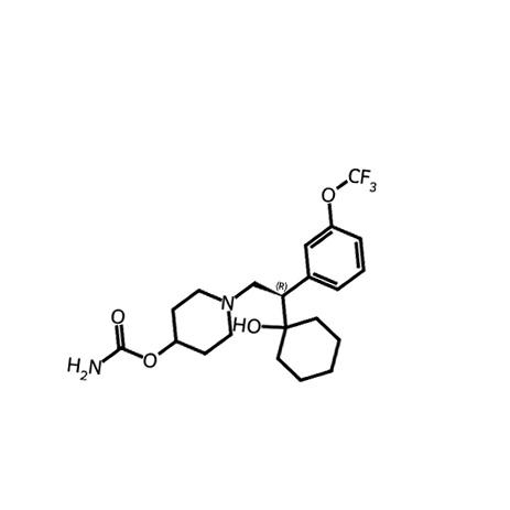 NC(=O)OC1CCN(C[C@@H](c2cccc(OC(F)(F)F)c2)C2(O)CCCCC2)CC1